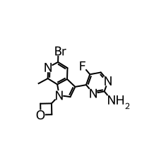 Cc1nc(Br)cc2c(-c3nc(N)ncc3F)cn(C3COC3)c12